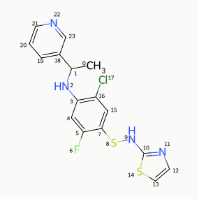 CC(Nc1cc(F)c(SNc2nccs2)cc1Cl)c1cccnc1